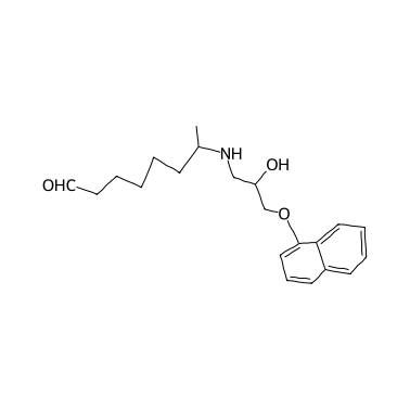 CC(CCCCCC=O)NCC(O)COc1cccc2ccccc12